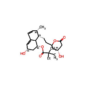 CCC(C)(C)C(=O)O[C@@H]1C[C@H](O)C=C2C=C[C@H](C)[C@H](CCC3C[C@@H](O)CC(=O)O3)C21